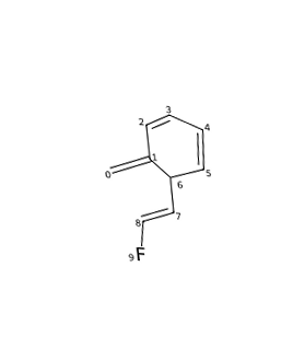 C=C1C=CC=CC1C=CF